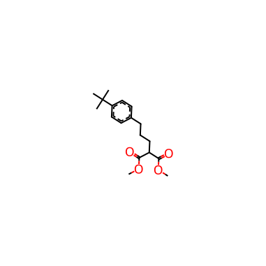 COC(=O)C(CCCc1ccc(C(C)(C)C)cc1)C(=O)OC